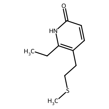 CCc1[nH]c(=O)ccc1CCSC